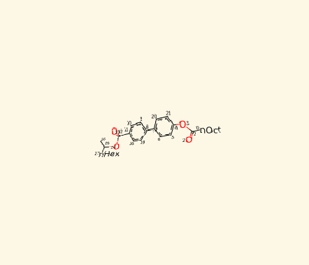 CCCCCCCCC(=O)Oc1ccc(-c2ccc(C(=O)OC(C)CCCCCC)cc2)cc1